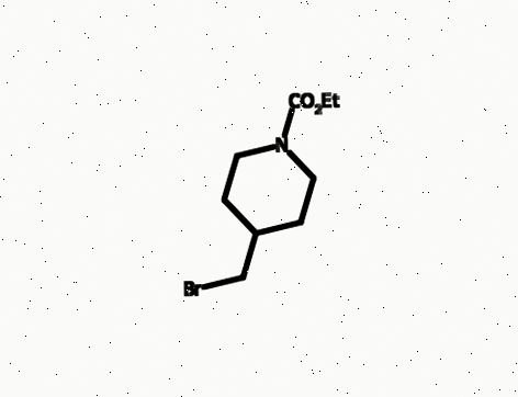 CCOC(=O)N1CCC(CBr)CC1